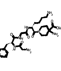 NCCCC[C@@H](NC(=O)CNC(=O)[C@@H](Cc1ccccc1)NC(=O)CN)C(=O)N1CCC(N)(C(=O)O)CC1